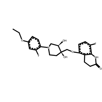 CCOc1ccc(N2CC[C@@](O)(COc3ccc(F)c4c3CCC(=O)N4)[C@H](O)C2)c(F)c1